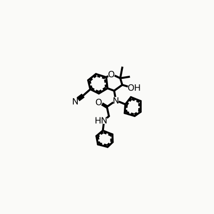 CC1(C)Oc2ccc(C#N)cc2C(N(C(=O)CNc2ccccc2)c2ccccc2)C1O